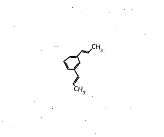 CC=Cc1cccc(C=CC)c1